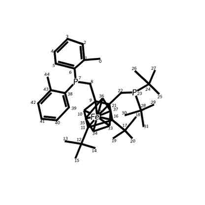 Cc1ccccc1P(C[C]12[CH]3[C]4(C(C)(C)C)[C]5(C(C)(C)C)[C]1(CP(C(C)(C)C)C(C)(C)C)[Fe]32451678[CH]2[CH]1[CH]6[CH]7[CH]28)c1ccccc1C